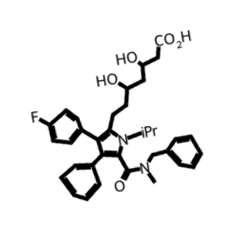 CC(C)n1c(CCC(O)CC(O)CC(=O)O)c(-c2ccc(F)cc2)c(-c2ccccc2)c1C(=O)N(C)Cc1ccccc1